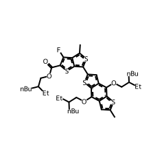 CCCCC(CC)COC(=O)c1sc2c(-c3cc4c(OCC(CC)CCCC)c5sc(C)cc5c(OCC(CC)CCCC)c4s3)sc(C)c2c1F